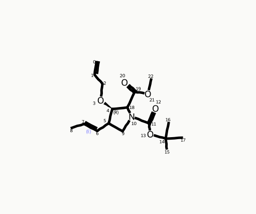 C=CCO[C@@H]1C(/C=C/C)CN(C(=O)OC(C)(C)C)C1C(=O)OC